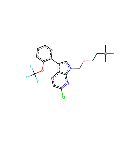 C[Si](C)(C)CCOCn1cc(-c2ccccc2OC(F)(F)F)c2ccc(Cl)nc21